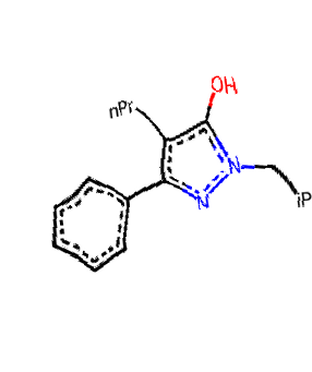 CCCc1c(-c2ccccc2)nn(CC(C)C)c1O